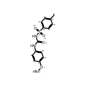 CCCCOc1ccc(NC(=O)NS(=O)(=O)c2ccc(C)cc2)cc1